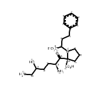 CCOC(=O)C(CCc1ccccc1)N1CCC[C@]1(C(=O)O)C(=O)[C@@H](N)CCC(O)CN